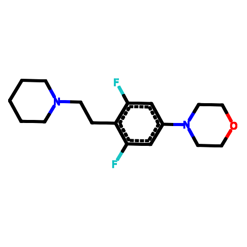 Fc1cc(N2CCOCC2)cc(F)c1CCN1CCCCC1